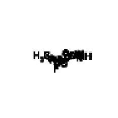 CC1CCN(c2cc(F)cc(C(=O)Nc3ccc(OCc4nn[nH]n4)c4ccccc34)c2)CC1